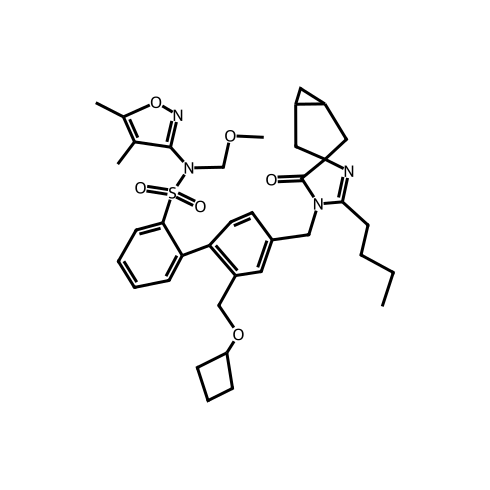 CCCCC1=NC2(CC3CC3C2)C(=O)N1Cc1ccc(-c2ccccc2S(=O)(=O)N(COC)c2noc(C)c2C)c(COC2CCC2)c1